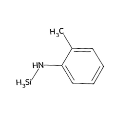 Cc1ccccc1N[SiH3]